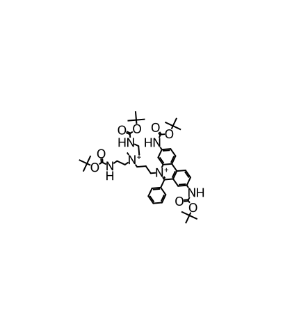 CC(C)(C)OC(=O)NCC[N+](C)(CCC[n+]1c(-c2ccccc2)c2cc(NC(=O)OC(C)(C)C)ccc2c2ccc(NC(=O)OC(C)(C)C)cc21)CCNC(=O)OC(C)(C)C